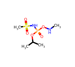 CNOP(=O)(NS(C)(=O)=O)OC(C)C